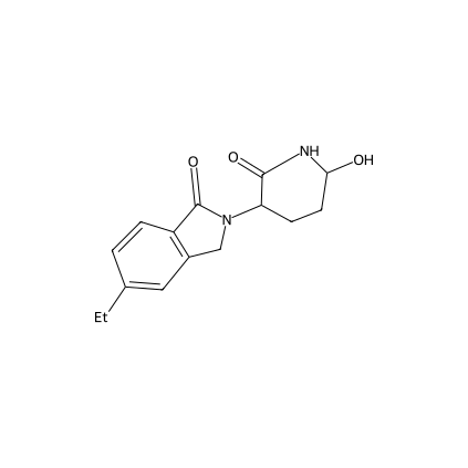 CCc1ccc2c(c1)CN(C1CCC(O)NC1=O)C2=O